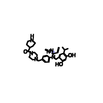 C=C/C(=N/N=C)N(Cc1cc(C(C)C)c(O)cc1O)c1ccc(CN2CCN(C(=O)C3CCNCC3)CC2)cc1